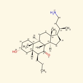 CCC[C@@H]1C(=O)[C@@H]2[C@H](CC[C@]3(C)[C@@H]([C@H](C)CCN)CC[C@@H]23)[C@@]2(C)CC[C@@H](O)C[C@@H]12